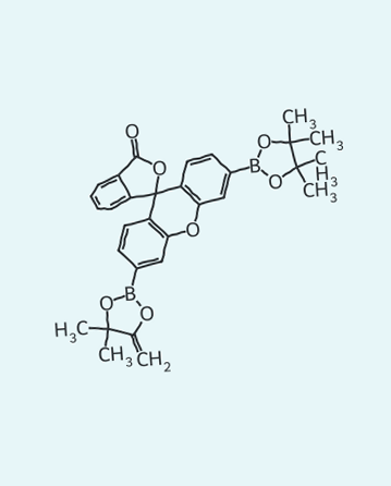 C=C1OB(c2ccc3c(c2)Oc2cc(B4OC(C)(C)C(C)(C)O4)ccc2C32OC(=O)c3ccccc32)OC1(C)C